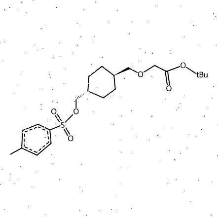 Cc1ccc(S(=O)(=O)OC[C@H]2CC[C@H](COCC(=O)OC(C)(C)C)CC2)cc1